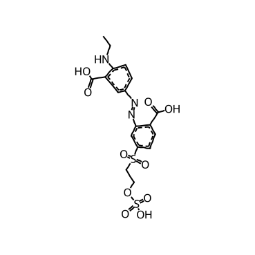 CCNc1ccc(N=Nc2cc(S(=O)(=O)CCOS(=O)(=O)O)ccc2C(=O)O)cc1C(=O)O